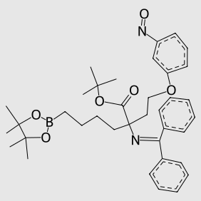 CC(C)(C)OC(=O)C(CCCCB1OC(C)(C)C(C)(C)O1)(CCOc1cccc(N=O)c1)N=C(c1ccccc1)c1ccccc1